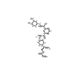 CCc1cc(CNC(=O)c2cc(C(=O)N[C@@H](C)c3ccc(/C(N)=N/OC(=O)OCC(C)C)cc3)ncn2)ccc1F